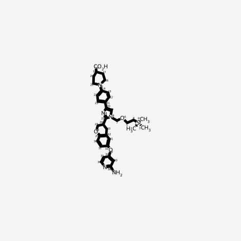 C[Si](C)(C)CCOCn1cc(-c2ccc(N3CCC(C(=O)O)CC3)cc2)nc1C1COc2ccc(Oc3ccnc(N)c3)cc2C1